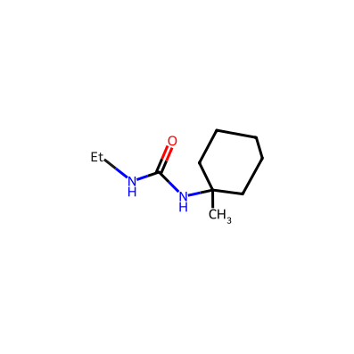 CCNC(=O)NC1(C)CCCCC1